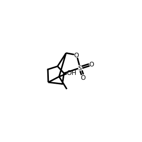 CC1(O)C2CC3C1OS(=O)(=O)C3C2